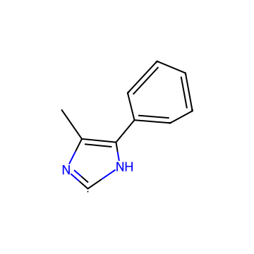 Cc1n[c][nH]c1-c1ccccc1